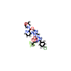 CC1CN(C(=O)c2ncccc2-n2cnc(Cn3nc(-c4ccc(Cl)cc4)n(C[C@H](O)C(F)(F)F)c3=O)n2)CCO1